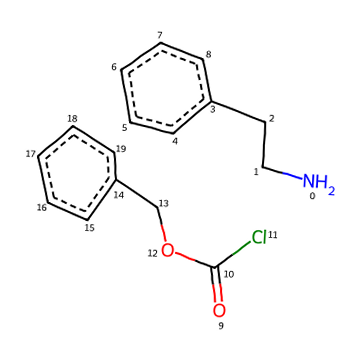 NCCc1ccccc1.O=C(Cl)OCc1ccccc1